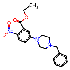 CCOC(=O)c1cc(N2CCN(Cc3ccccc3)CC2)ccc1[N+](=O)[O-]